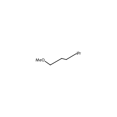 [CH2]C(C)CCCOC